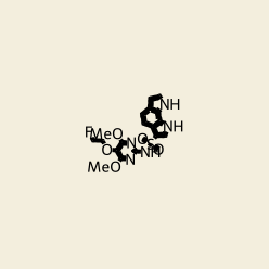 COc1nc(NS(=O)(=O)c2c[nH]c3c2ccc2cc[nH]c23)nc(OC)c1OCCF